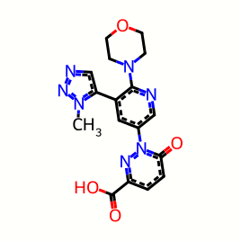 Cn1nncc1-c1cc(-n2nc(C(=O)O)ccc2=O)cnc1N1CCOCC1